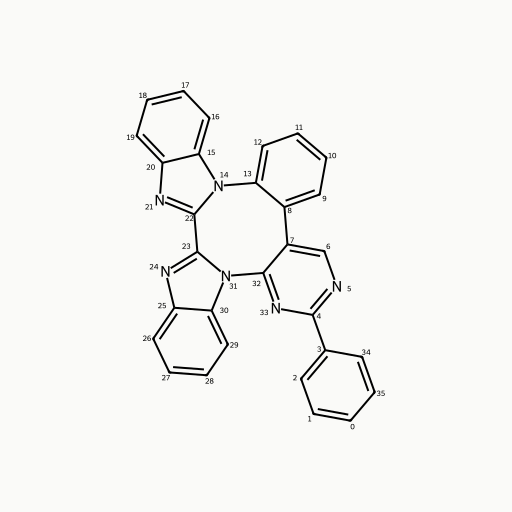 c1ccc(-c2ncc3c4ccccc4n4c5ccccc5nc4c4nc5ccccc5n4c3n2)cc1